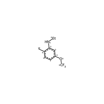 CCNc1cc(OC(F)(F)F)ccc1C